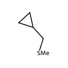 CSC[C]1CC1